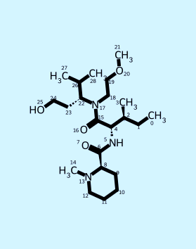 CC[C@H](C)[C@H](NC(=O)[C@H]1CCCCN1C)C(=O)N(CCOC)[C@H](CCO)C(C)C